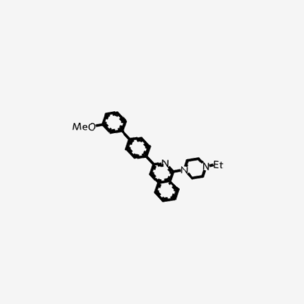 CCN1CCN(c2nc(-c3ccc(-c4cccc(OC)c4)cc3)cc3ccccc23)CC1